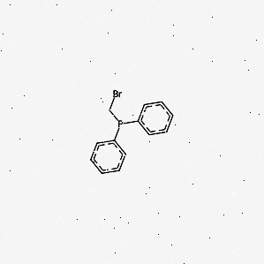 BrCP(c1ccccc1)c1ccccc1